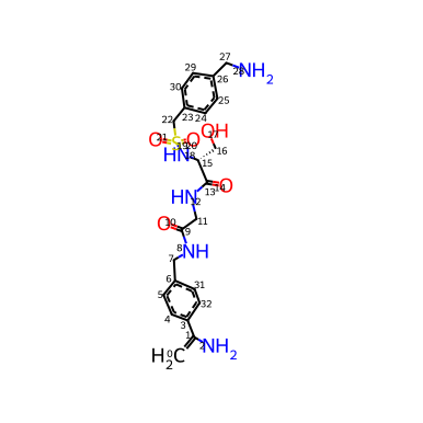 C=C(N)c1ccc(CNC(=O)CNC(=O)[C@@H](CO)NS(=O)(=O)Cc2ccc(CN)cc2)cc1